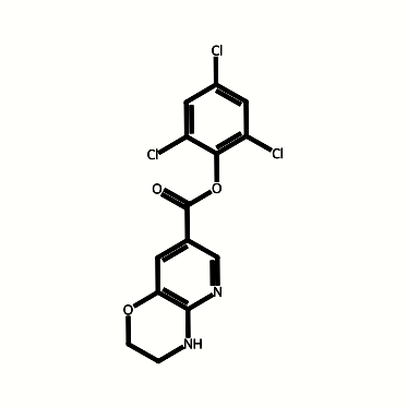 O=C(Oc1c(Cl)cc(Cl)cc1Cl)c1cnc2c(c1)OCCN2